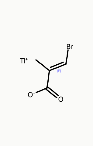 C/C(=C\Br)C(=O)[O-].[Tl+]